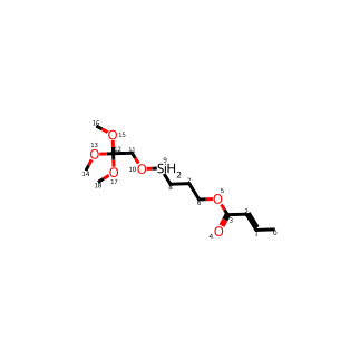 CC=CC(=O)OCCC[SiH2]OCC(OC)(OC)OC